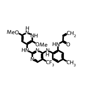 C=CC(=O)Nc1cc(C)ccc1Nc1nc(NC2=C(OC)NNC(OC)=C2)ncc1C(F)(F)F